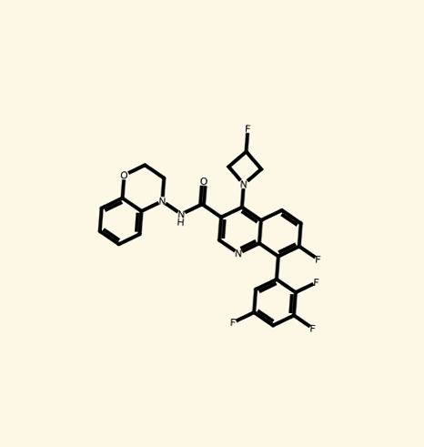 O=C(NN1CCOc2ccccc21)c1cnc2c(-c3cc(F)cc(F)c3F)c(F)ccc2c1N1CC(F)C1